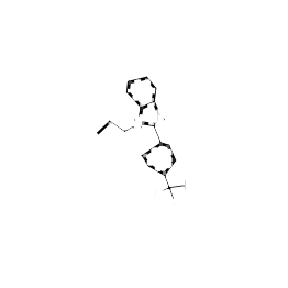 C=CCn1c(-c2ccc(C(F)(F)F)cc2)nc2ccccc21